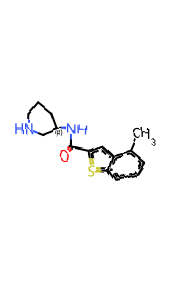 Cc1cccc2sc(C(=O)N[C@@H]3CCCNC3)cc12